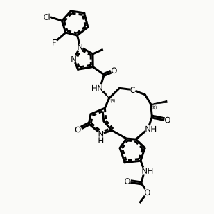 COC(=O)Nc1ccc2c(c1)NC(=O)[C@H](C)CCC[C@H](NC(=O)c1cnn(-c3cccc(Cl)c3F)c1C)c1cc-2[nH]c(=O)c1